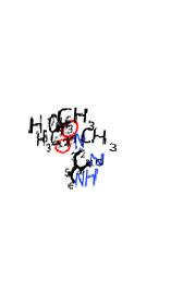 CN(CCC1CCNC1C#N)C(=O)OC(C)(C)C